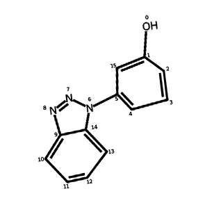 Oc1cccc(-n2nnc3ccccc32)c1